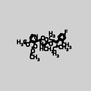 CCOCOc1c(OC)ccnc1C(=O)N[C@@H](C)C(=O)O[C@@H](C)[C@H](c1ccc(F)cc1C)C(C)C